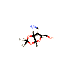 CC1(C)O[C@H]2O[C@H](CO)[C@@H](CN)[C@H]2O1